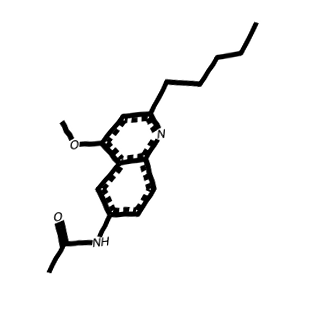 CCCCCc1cc(OC)c2cc(NC(C)=O)ccc2n1